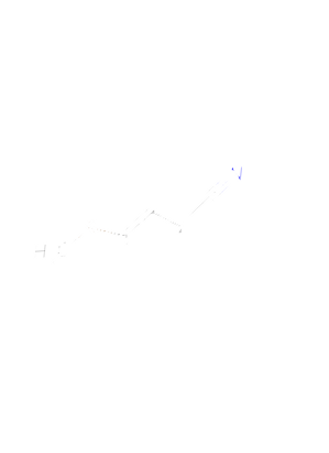 CSC=CCC#N